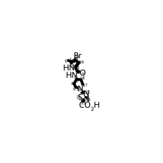 Cc1[nH]c(C(=O)NC2CCN(c3nnc(C(=O)O)s3)CC2)cc1Br